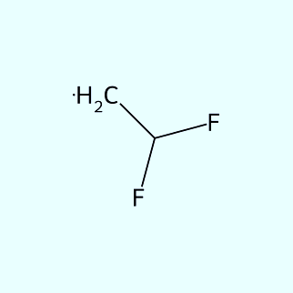 [CH2]C(F)F